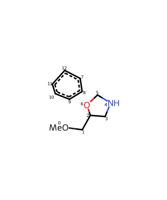 COCC1CNCO1.c1ccccc1